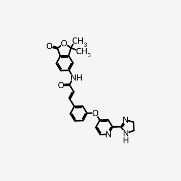 CC1(C)OC(=O)c2ccc(NC(=O)C=Cc3cccc(Oc4ccnc(C5=NCCN5)c4)c3)cc21